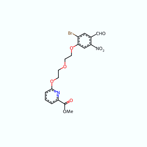 COC(=O)c1cccc(OCCOCCOc2cc([N+](=O)[O-])c(C=O)cc2Br)n1